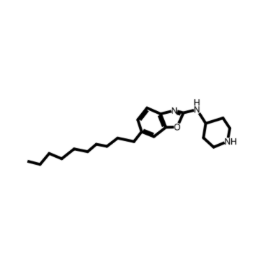 CCCCCCCCCCc1ccc2nc(NC3CCNCC3)oc2c1